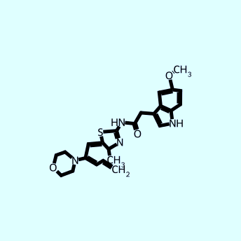 C=C/C=C(\C=C1\SC(NC(=O)Cc2c[nH]c3ccc(OC)cc23)=NC1C)N1CCOCC1